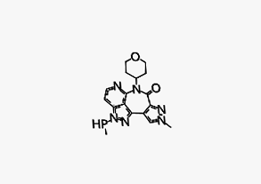 CPn1nc2c3c(nccc31)N(C1CCOCC1)C(=O)c1nn(C)cc1-2